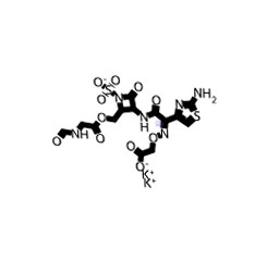 Nc1nc(/C(=N/OCC(=O)[O-])C(=O)NC2C(=O)N(S(=O)(=O)[O-])C2COC(=O)CNC=O)cs1.[K+].[K+]